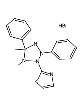 Br.CN1N(c2nccs2)N(c2ccccc2)[N]C1(C)c1ccccc1